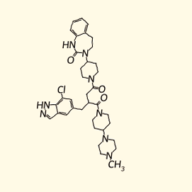 CN1CCN(C2CCN(C(=O)C(CC(=O)N3CCC(N4CCc5ccccc5NC4=O)CC3)Cc3cc(Cl)c4[nH]ncc4c3)CC2)CC1